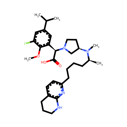 COc1c(F)cc(C(C)C)cc1[C@H](C(=O)O)N1CC[C@@H](N(C)[C@@H](C)CCCCc2ccc3c(n2)NCCC3)C1